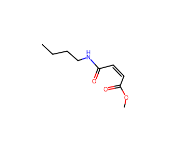 CCCCNC(=O)/C=C\C(=O)OC